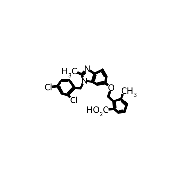 Cc1cccc(C(=O)O)c1COc1ccc2nc(C)n(Cc3ccc(Cl)cc3Cl)c2c1